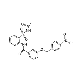 CC(=O)NS(=O)(=O)c1ccccc1NC(=O)c1cccc(OCc2ccc([N+](=O)[O-])cc2)c1